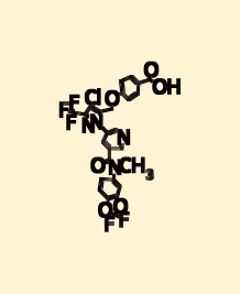 CN(C(=O)c1cncc(-n2nc(C(F)(F)F)c(Cl)c2COc2ccc(C(=O)O)cc2)c1)c1ccc2c(c1)OC(F)(F)O2